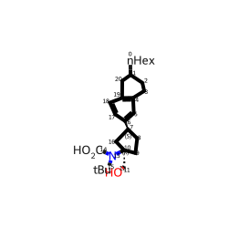 CCCCCCC1CCc2cc([C@H]3CC[C@@](CO)(N(C(=O)O)C(C)(C)C)C3)ccc2C1